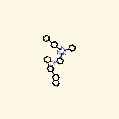 C1=CCC2C(=C1)c1ccc(C3=CC4C=CC=CC4C=C3)cc1N2c1cccc(-c2nc(-c3ccccc3)nc(-c3ccc(-c4ccccc4)cc3)n2)c1